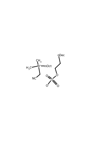 CCCCCCCCCCCCOS(=O)(=O)[O-].CCCCCCCC[N+](C)(C)CC#N